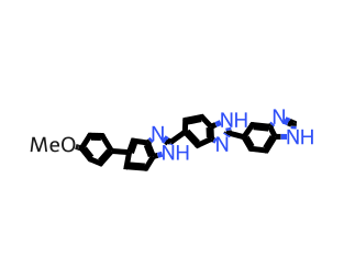 COc1ccc(-c2ccc3[nH]c(-c4ccc5[nH]c(-c6ccc7[nH]cnc7c6)nc5c4)nc3c2)cc1